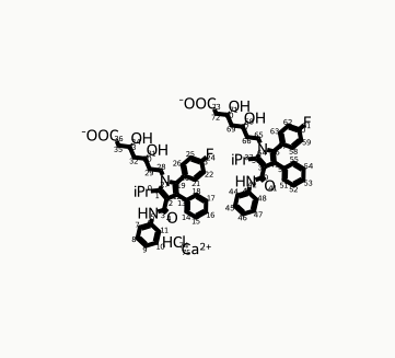 CC(C)c1c(C(=O)Nc2ccccc2)c(-c2ccccc2)c(-c2ccc(F)cc2)n1CC[C@@H](O)C[C@@H](O)CC(=O)[O-].CC(C)c1c(C(=O)Nc2ccccc2)c(-c2ccccc2)c(-c2ccc(F)cc2)n1CC[C@@H](O)C[C@@H](O)CC(=O)[O-].Cl.[Ca+2]